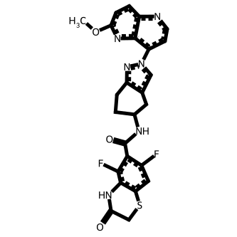 COc1ccc2nccc(-n3cc4c(n3)CCC(NC(=O)c3c(F)cc5c(c3F)NC(=O)CS5)C4)c2n1